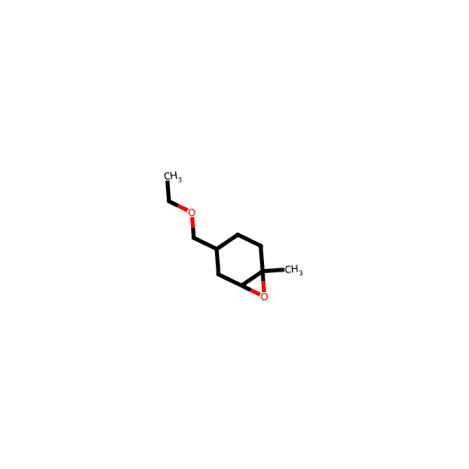 CCOCC1CCC2(C)OC2C1